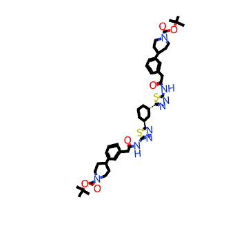 CC(C)(C)OC(=O)N1CCC(c2cccc(CC(=O)Nc3nnc([C@H]4CCC[C@H](c5nnc(NC(=O)Cc6cccc(C7CCN(C(=O)OC(C)(C)C)CC7)c6)s5)C4)s3)c2)CC1